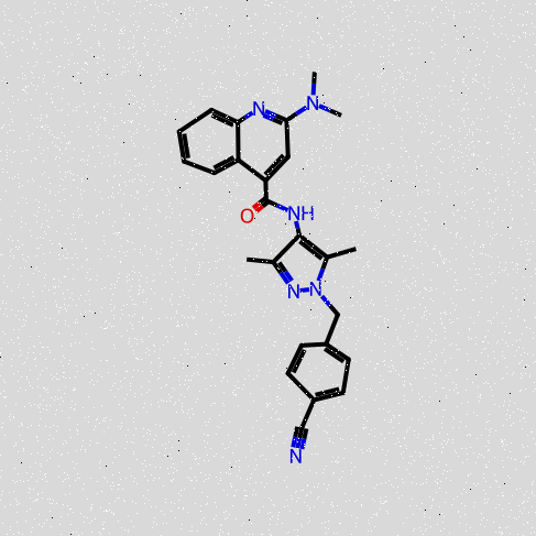 Cc1nn(Cc2ccc(C#N)cc2)c(C)c1NC(=O)c1cc(N(C)C)nc2ccccc12